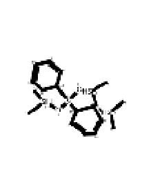 C[SiH](C)O[SiH](C)O[Si](O[SiH](C)C)(C1C=CC=CC1)C1C=CC=CC1